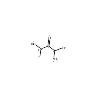 CCC(C)N(C)C(=O)C(N)C(C)C